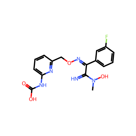 CN(O)C(=N)/C(=N\OCc1cccc(NC(=O)O)n1)c1cccc(F)c1